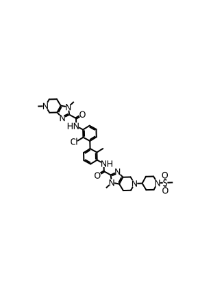 Cc1c(NC(=O)c2nc3c(n2C)CCN(C2CCN(S(C)(=O)=O)CC2)C3)cccc1-c1cccc(NC(=O)c2nc3c(n2C)CCN(C)C3)c1Cl